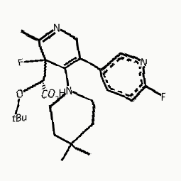 CC1=NCC(c2ccc(F)nc2)=C(N2CCC(C)(C)CC2)C1(F)[C@@H](OC(C)(C)C)C(=O)O